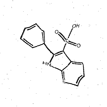 O=S(=O)(O)c1c(-c2ccccc2)[nH]c2ncccc12